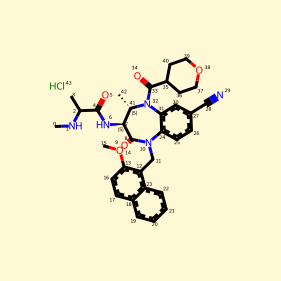 CNC(C)C(=O)N[C@@H]1C(=O)N(Cc2c(OC)ccc3ccccc23)c2ccc(C#N)cc2N(C(=O)C2CCOCC2)[C@H]1C.Cl